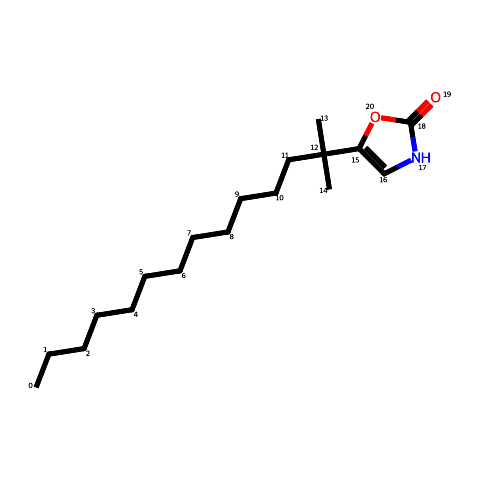 CCCCCCCCCCCCC(C)(C)c1c[nH]c(=O)o1